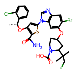 C[C@@H](Oc1cc(-n2cnc3cc(Br)c(OC4CCN(C(=O)O)C(C(C)(C)CF)C4)cc32)sc1C(N)=O)c1ccccc1Cl